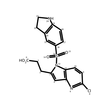 O=C(O)CCc1cc2nc(Cl)ccc2n1S(=O)(=O)c1ccc2c(c1)CCN2